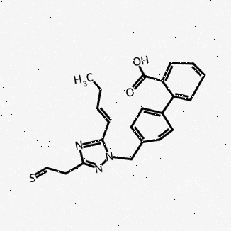 CCC=Cc1nc(CC=S)nn1Cc1ccc(-c2ccccc2C(=O)O)cc1